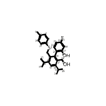 Cc1ccc(SCc2c(C(C)C)cc(C(C)C)c(CO)c2-c2ccc(F)cc2O)cc1